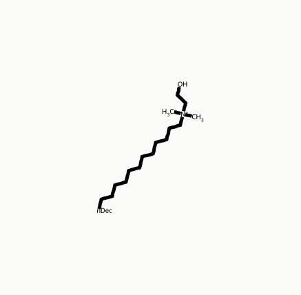 CCCCCCCCCCCCCCCCCCCCCC[N+](C)(C)CCO